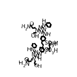 NC(=O)CCN(CCO)c1nc(Nc2ccccc2)nc(Nc2ccc(/C=C/c3ccc(Nc4nc(Nc5ccccc5)nc(N(CCO)CCC(N)=O)n4)cc3S(=O)(=O)O)c(S(=O)(=O)O)c2)n1.NCCO